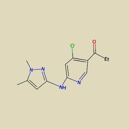 CCC(=O)c1cnc(Nc2cc(C)n(C)n2)cc1Cl